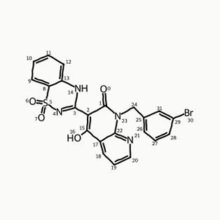 O=c1c(C2=NS(=O)(=O)c3ccccc3N2)c(O)c2cccnc2n1Cc1cccc(Br)c1